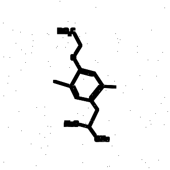 CCOC(=O)COc1cc(C)c(CC(OC)OC)cc1C